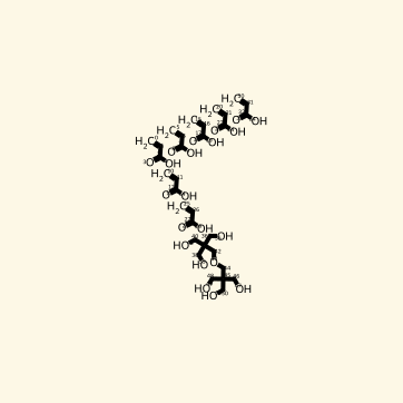 C=CC(=O)O.C=CC(=O)O.C=CC(=O)O.C=CC(=O)O.C=CC(=O)O.C=CC(=O)O.C=CC(=O)O.OCC(CO)(CO)COCC(CO)(CO)CO